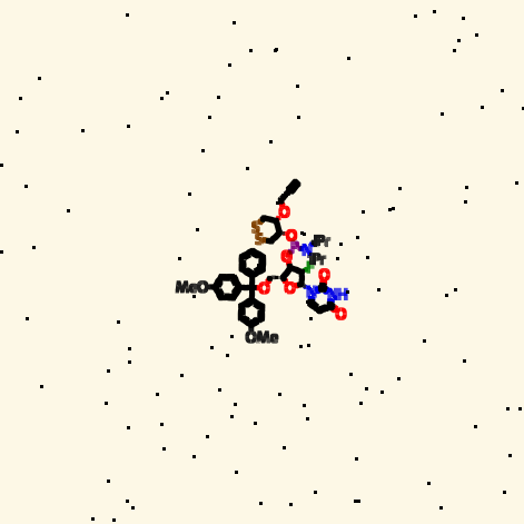 C#CCO[C@@H]1CSSC[C@H]1OP(OC1[C@@H](F)[C@H](n2ccc(=O)[nH]c2=O)O[C@@H]1COC(c1ccccc1)(c1ccc(OC)cc1)c1ccc(OC)cc1)N(C(C)C)C(C)C